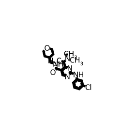 CC(c1nc(Nc2cccc(Cl)c2)ncc1C(=O)NCC1CCOCC1)N(C)C